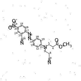 COC(=O)CCN(CCC#N)c1ccc(N=Nc2ccc([N+](=O)[O-])cc2C#N)cc1